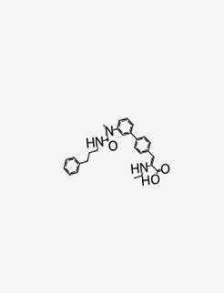 CCNC(=Cc1ccc(-c2cccc(N(C)C(=O)NCCCc3ccccc3)c2)cc1)C(=O)O